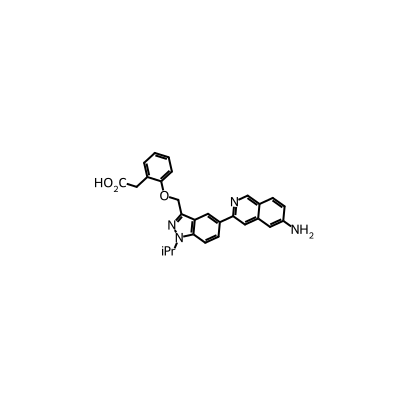 CC(C)n1nc(COc2ccccc2CC(=O)O)c2cc(-c3cc4cc(N)ccc4cn3)ccc21